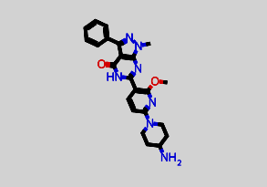 COc1nc(N2CCC(N)CC2)ccc1-c1nc2c(c(-c3ccccc3)nn2C)c(=O)[nH]1